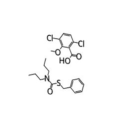 CCCN(CCC)C(=O)SCc1ccccc1.COc1c(Cl)ccc(Cl)c1C(=O)O